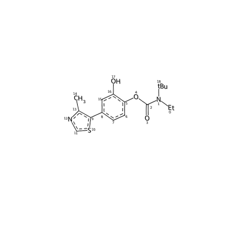 CCN(C(=O)Oc1ccc(-c2scnc2C)cc1O)C(C)(C)C